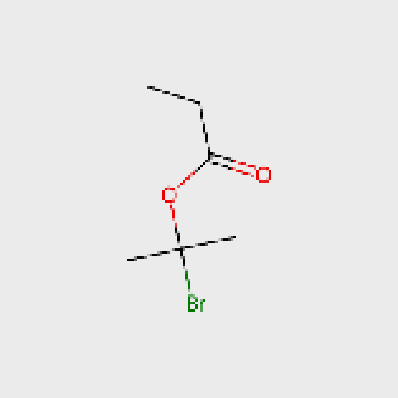 CCC(=O)OC(C)(C)Br